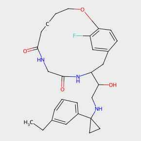 CCc1cccc(C2(NCC(O)C3Cc4ccc(c(F)c4)OCCCCC(=O)NCC(=O)N3)CC2)c1